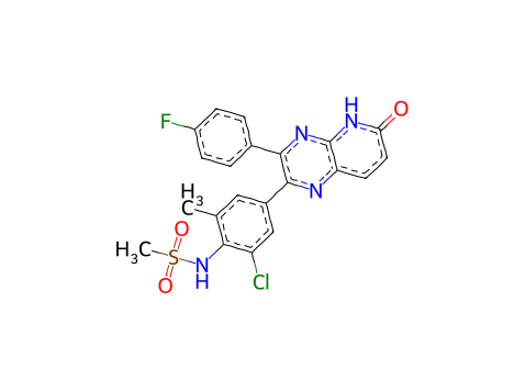 Cc1cc(-c2nc3ccc(=O)[nH]c3nc2-c2ccc(F)cc2)cc(Cl)c1NS(C)(=O)=O